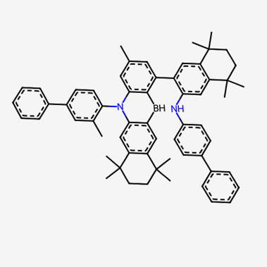 Cc1cc(-c2cc3c(cc2Nc2ccc(-c4ccccc4)cc2)C(C)(C)CCC3(C)C)c2c(c1)N(c1ccc(-c3ccccc3)cc1C)c1cc3c(cc1B2)C(C)(C)CCC3(C)C